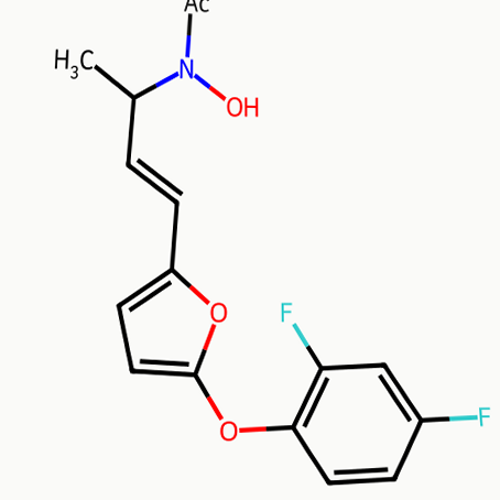 CC(=O)N(O)C(C)/C=C/c1ccc(Oc2ccc(F)cc2F)o1